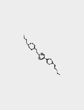 CCCCCC1CCC(c2cnc(CCC3CCC(CCCC)CC3)nc2)CC1